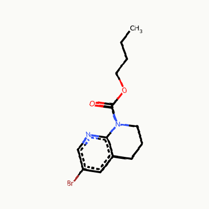 CCCCOC(=O)N1CCCc2cc(Br)cnc21